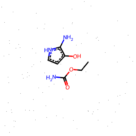 CCOC(N)=O.Nc1[nH]ccc1O